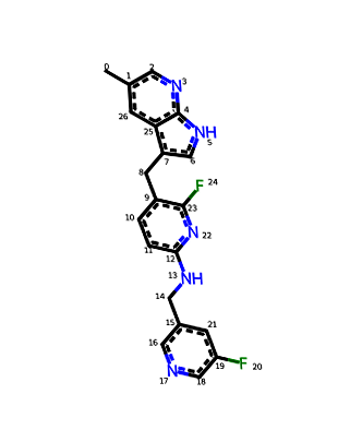 Cc1cnc2[nH]cc(Cc3ccc(NCc4cncc(F)c4)nc3F)c2c1